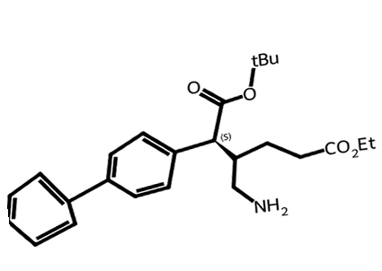 CCOC(=O)CCC(CN)[C@H](C(=O)OC(C)(C)C)c1ccc(-c2ccccc2)cc1